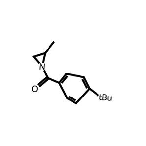 CC1CN1C(=O)c1ccc(C(C)(C)C)cc1